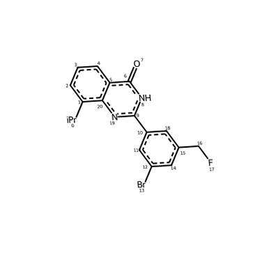 CC(C)c1cccc2c(=O)[nH]c(-c3cc(Br)cc(CF)c3)nc12